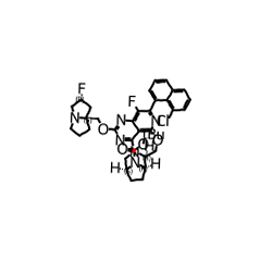 CC(C)(C)OC(=O)N1[C@H]2CC[C@@H]1[C@@H]1COc3nc(-c4cccc5cccc(Cl)c45)c(F)c4nc(OC[C@@]56CCCN5C[C@H](F)C6)nc(c34)N1C2